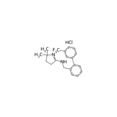 CC1(C)CCC(NCc2ccccc2-c2cccc(C(F)(F)F)c2)=N1.Cl